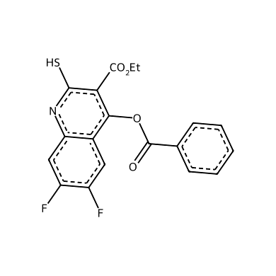 CCOC(=O)c1c(S)nc2cc(F)c(F)cc2c1OC(=O)c1ccccc1